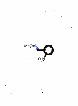 CON=Cc1ccccc1[N+](=O)[O-]